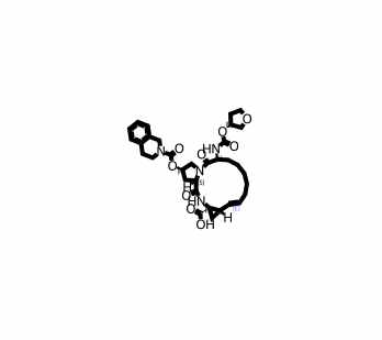 O=C(N[C@H]1CCCCC/C=C/[C@@H]2C[C@@]2(C(=O)O)NC(=O)[C@@H]2C[C@@H](OC(=O)N3CCc4ccccc4C3)CN2C1=O)O[C@@H]1CCOC1